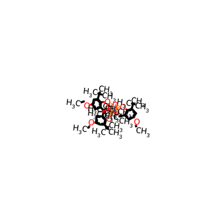 CCOc1cc(C(C)(C)C)c(OP2OP(Oc3c(C(C)(C)C)cc(OCC)cc3C(C)(C)C)OP(Oc3c(C(C)(C)C)cc(OCC)cc3C(C)(C)C)O2)c(C(C)(C)C)c1